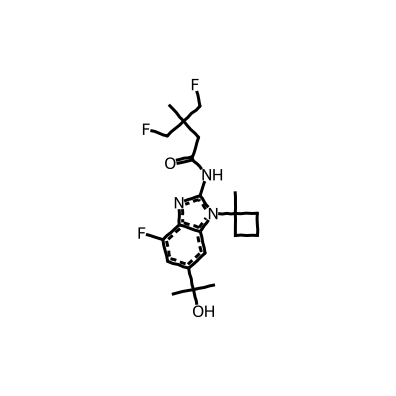 CC(CF)(CF)CC(=O)Nc1nc2c(F)cc(C(C)(C)O)cc2n1C1(C)CCC1